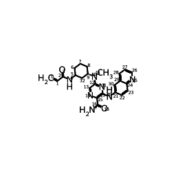 C=CC(=O)NC1CCC[C@@H](N(C)c2cnc(C(N)=O)c(Nc3ccc4ncccc4c3)n2)C1